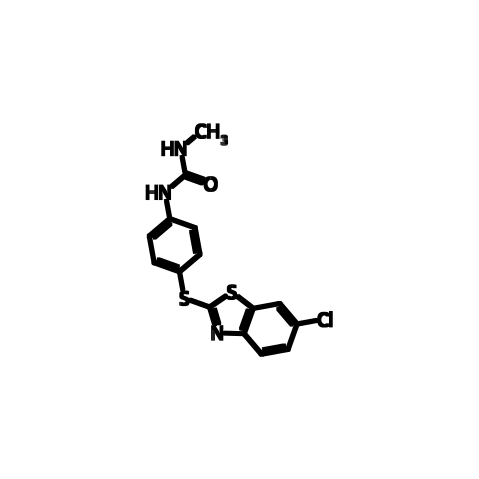 CNC(=O)Nc1ccc(Sc2nc3ccc(Cl)cc3s2)cc1